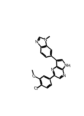 COc1cc(-c2cnc3[nH]cc(-c4ccc5ncn(C)c5c4)c3n2)ccc1Cl